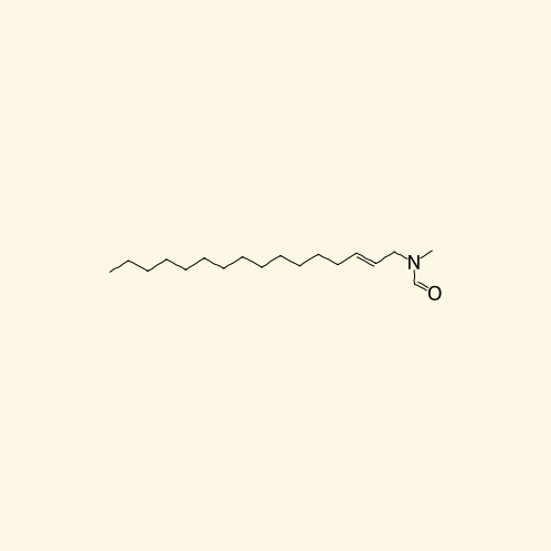 CCCCCCCCCCCCC/C=C/CN(C)C=O